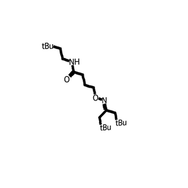 CC(C)(C)CCNC(=O)CCCON=C(CC(C)(C)C)CC(C)(C)C